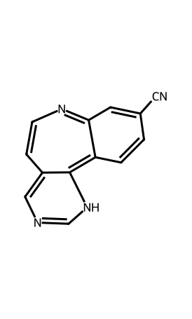 N#Cc1ccc2c(c1)=NC=CC1=CN=CNC=21